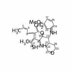 C=CC(=C\C=C/C)/C(C(=N)C(=O)C(Nc1cccc(OC)c1)C1CCOCC1)=C(\C)S